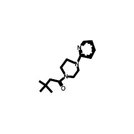 CC(C)(C)CC(=O)N1CCN(c2ccccn2)CC1